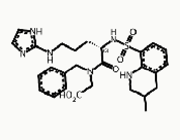 CC1CNc2c(cccc2S(=O)(=O)N[C@@H](CCCNc2ncc[nH]2)C(=O)N(CC(=O)O)Cc2ccccc2)C1